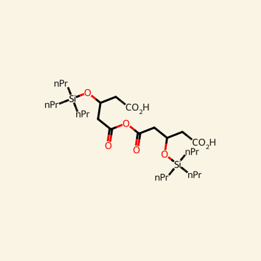 CCC[Si](CCC)(CCC)OC(CC(=O)O)CC(=O)OC(=O)CC(CC(=O)O)O[Si](CCC)(CCC)CCC